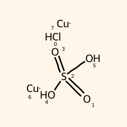 Cl.O=S(=O)(O)O.[Cu].[Cu]